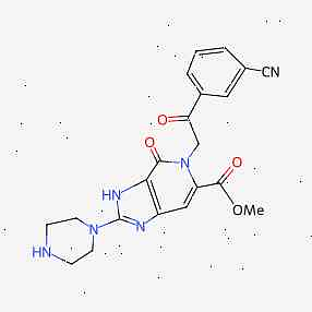 COC(=O)c1cc2nc(N3CCNCC3)[nH]c2c(=O)n1CC(=O)c1cccc(C#N)c1